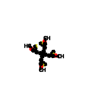 C#CCOc1ccc2c(c1)/C(=C\C1=CCCS1)c1cc(-c3ccc(C(c4ccc(-c5ccc6c(c5)/C(=C/c5cccs5)c5cc(OCC#C)ccc5-6)cc4)(c4ccc(-c5ccc6c(c5)/C(=C/c5cccs5)c5cc(OCC#C)ccc5-6)cc4)c4ccc(-c5ccc6c(c5)/C(=C/c5cccs5)c5cc(OCC#C)ccc5-6)cc4)cc3)ccc1-2